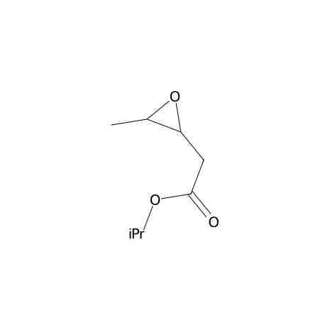 CC(C)OC(=O)CC1OC1C